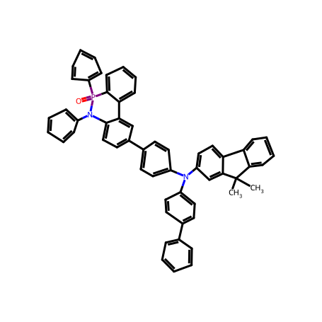 CC1(C)c2ccccc2-c2ccc(N(c3ccc(-c4ccccc4)cc3)c3ccc(-c4ccc5c(c4)-c4ccccc4P(=O)(c4ccccc4)N5c4ccccc4)cc3)cc21